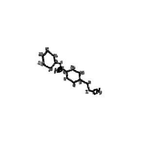 CCCC1CCC(BCC2CCCCC2)CC1